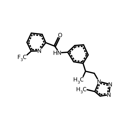 Cc1cnnn1CC(C)c1cccc(NC(=O)c2cccc(C(F)(F)F)n2)c1